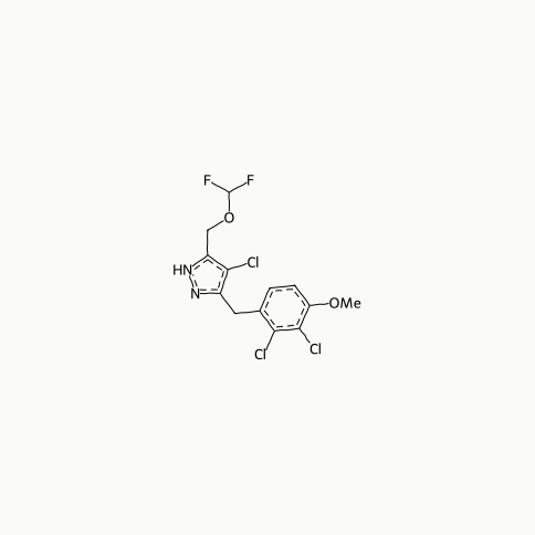 COc1ccc(Cc2n[nH]c(COC(F)F)c2Cl)c(Cl)c1Cl